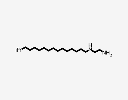 CC(C)CCCCCCCCCCCCCCNCCN